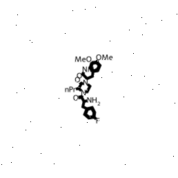 CCCC1C(=O)N(C(Cc2ccc(OC)c(OC)c2)C(=O)NC)CCN1C(=O)C(N)Cc1ccc(F)cc1